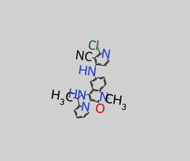 CC(Nc1cc(=O)n(C)c2ccc(Nc3ccnc(Cl)c3C#N)cc12)c1ccccn1